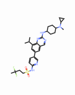 CC(C)c1cc(-c2ccc(NS(=O)(=O)CCC(C)(F)F)nc2)cc2cnc(NC3CCC(N(C)C4CC4)CC3)nc12